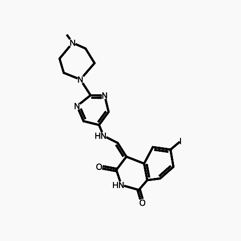 CN1CCN(c2ncc(NC=C3C(=O)NC(=O)c4ccc(I)cc43)cn2)CC1